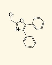 [O]Cc1nc(-c2ccccc2)c(-c2ccccc2)o1